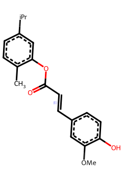 COc1cc(/C=C/C(=O)Oc2cc(C(C)C)ccc2C)ccc1O